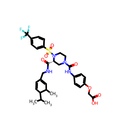 CC(C)C1C=CC(CNC(=O)[C@H]2CN(C(=O)Nc3ccc(OCC(=O)O)cc3)CCN2S(=O)(=O)c2ccc(C(F)(F)F)cc2)=CC1C